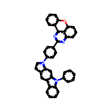 c1ccc(-n2c3ccccc3c3cc4ccn(-c5ccc(-c6nc7c8c(cccc8n6)Oc6ccccc6-7)cc5)c4cc32)cc1